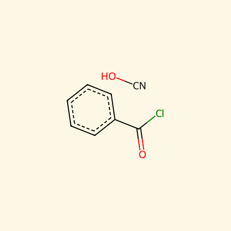 N#CO.O=C(Cl)c1ccccc1